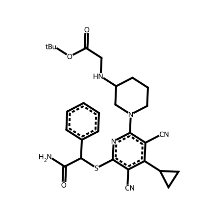 CC(C)(C)OC(=O)CNC1CCCN(c2nc(SC(C(N)=O)c3ccccc3)c(C#N)c(C3CC3)c2C#N)C1